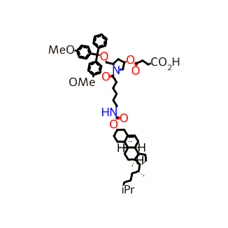 COc1ccc(C(OCC2CC(OC(=O)CCC(=O)O)CN2C(=O)CCCCCNC(=O)O[C@H]2CC[C@@]3(C)C(=CC[C@H]4[C@@H]5CC[C@H]([C@H](C)CCCC(C)C)[C@@]5(C)CC[C@@H]43)C2)(c2ccccc2)c2ccc(OC)cc2)cc1